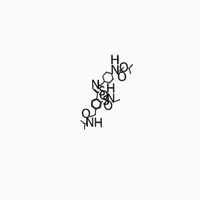 CCNS(=O)(=O)c1cc(CC(=O)NC(C)C)ccc1-c1cnc(C2CCC(NC(=O)OC(C)C)CC2)s1